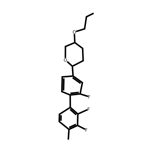 CCCOC1CCC(c2ccc(-c3ccc(C)c(F)c3F)c(F)c2)OC1